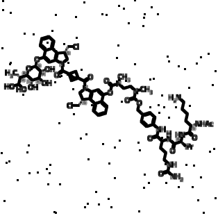 CC(=O)N[C@@H](CCCCN)C(=O)N[C@H](C(=O)NC(CCCNC(N)=O)C(=O)Nc1ccc(COC(=O)N(C)CCN(C)C(=O)Oc2cc3c(c4ccccc24)[C@H](CCl)CN3C(=O)C23CC(C(=O)N4C[C@@H](CCl)c5c4cc(O[C@@H]4O[C@H]([C@@H](C)C(O)O)[C@@H](O)[C@H](O)[C@H]4O)c4ccccc54)(C2)C3)cc1)C(C)C